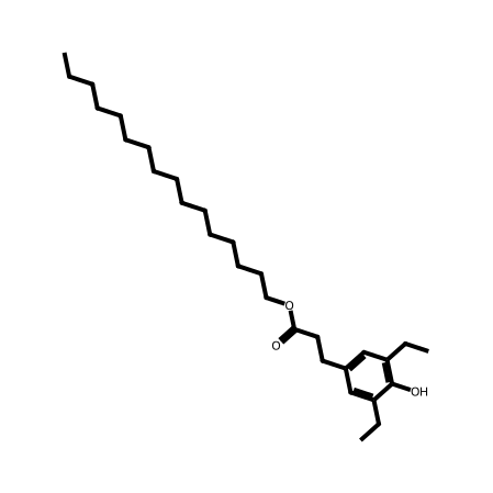 CCCCCCCCCCCCCCCCOC(=O)CCc1cc(CC)c(O)c(CC)c1